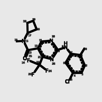 Cc1ccc(Cl)cc1Nc1ncc(C(=O)N(C)C2CCC2)c(C(F)(F)F)n1